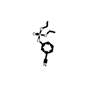 CCOP(=O)(OCC)Oc1cccc(C#N)c1